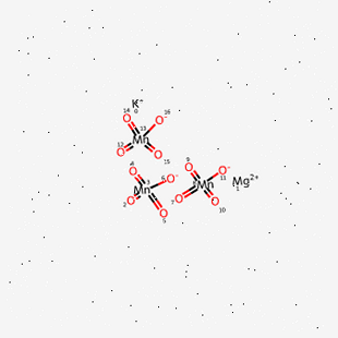 [K+].[Mg+2].[O]=[Mn](=[O])(=[O])[O-].[O]=[Mn](=[O])(=[O])[O-].[O]=[Mn](=[O])(=[O])[O-]